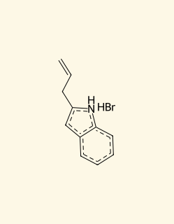 Br.C=CCc1cc2ccccc2[nH]1